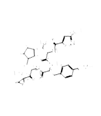 COc1ccc(C[C@H](NC(=O)[C@@H](CO)NC(=O)c2cc(C)no2)C(=O)N[C@@H](CC2CCCC2)C(=O)[C@]2(C)CO2)cc1